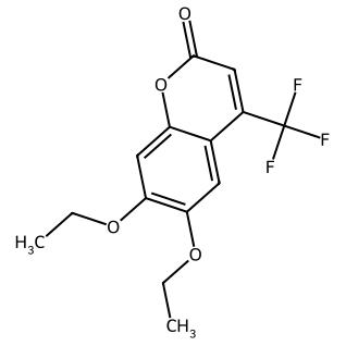 CCOc1cc2oc(=O)cc(C(F)(F)F)c2cc1OCC